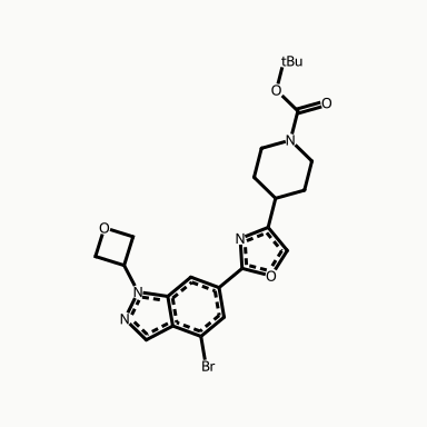 CC(C)(C)OC(=O)N1CCC(c2coc(-c3cc(Br)c4cnn(C5COC5)c4c3)n2)CC1